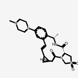 C[C@H](NC(=O)[C@@H]1CS(=O)(=O)CN1C(=O)CN)c1ccc(N2CCN(C)CC2)cc1/C=C/C1CC1